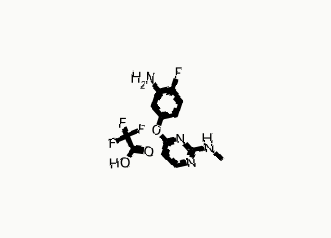 CNc1nccc(Oc2ccc(F)c(N)c2)n1.O=C(O)C(F)(F)F